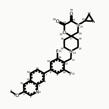 COc1cnc2cc(-c3cc(F)c(CN4CCC5(CC4)CN(C4CC4)C(=O)C(=O)O5)c(F)c3)ccc2c1